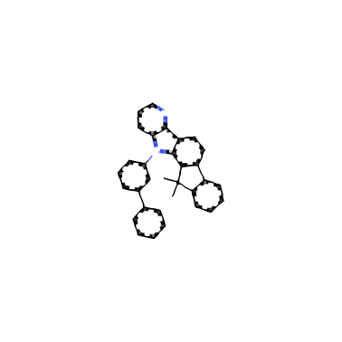 CC1(C)c2ccccc2-c2ccc3c4ncccc4n(-c4cccc(-c5ccccc5)c4)c3c21